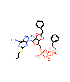 CCCSc1nc(N)c2ncn([C@@H]3O[C@H](COP(=O)(O)OP(=O)(O)OP(=O)(O)OCc4ccccc4)C4OC(Cc5ccccc5)O[C@@H]43)c2n1